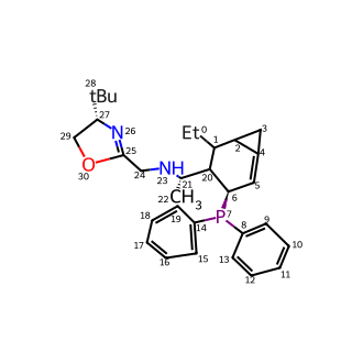 CCC1C2CC2=C[C@@H](P(c2ccccc2)c2ccccc2)C1[C@H](C)NCC1=N[C@@H](C(C)(C)C)CO1